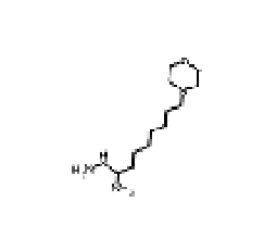 NNC(N)CCCCCCCN1CCOCC1